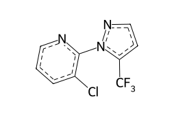 FC(F)(F)c1ccnn1-c1ncccc1Cl